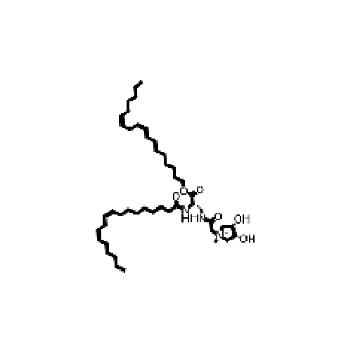 CCCCC/C=C\C/C=C\CCCCCCCCOC(=O)[C@H](CNC(=O)C[N+]1(C)C[C@@H](O)[C@H](O)C1)NC(=O)CCCCCCC/C=C\C/C=C\CCCCC